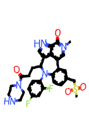 Cn1cc2c3c(c[nH]c3c1=O)C(CCC(=O)N1CCNCC1)N(c1ccc(F)cc1F)c1ccc(CS(C)(=O)=O)cc1-2